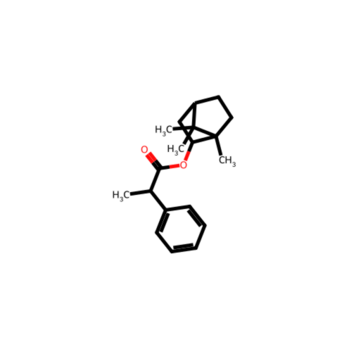 CC(C(=O)OC1CC2CCC1(C)C2(C)C)c1ccccc1